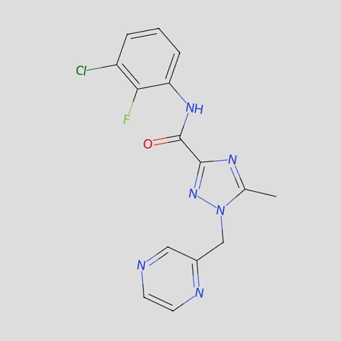 Cc1nc(C(=O)Nc2cccc(Cl)c2F)nn1Cc1cnccn1